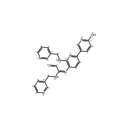 O=C/C(=N\c1ccc(-c2ccc(O)nc2)nc1NCc1cccnc1)NCc1cccnc1